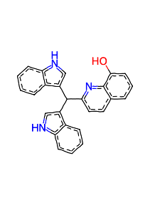 Oc1cccc2ccc(C(c3c[nH]c4ccccc34)c3c[nH]c4ccccc34)nc12